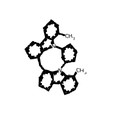 Cc1cccc2c3cccc4c3n(c12)-c1cccc(c1)-n1c2c(C)cccc2c2cccc(c21)C4